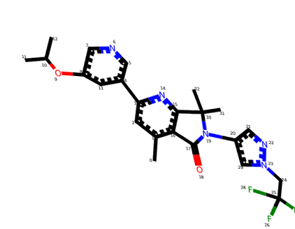 Cc1cc(-c2cncc(OC(C)C)c2)nc2c1C(=O)N(c1cnn(CC(F)(F)F)c1)C2(C)C